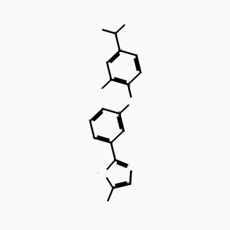 CC(C=O)c1ccc(Nc2cccc(-c3ncc(Cl)s3)c2)c([N+](=O)[O-])c1